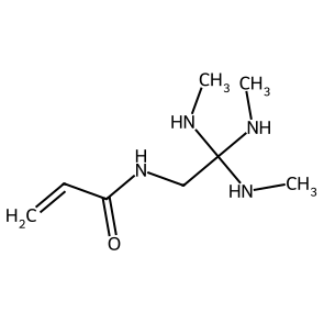 C=CC(=O)NCC(NC)(NC)NC